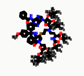 COc1ccc(C(Nc2nc(=O)n([C@@H]3C[C@H](O[Si](C)(C)C(C)(C)C)[C@@H](CO[Si](C)(C)C(C)(C)C)O3)cc2SCCN(CC[C@H](NC(=O)OC(C)(C)C)C(=O)OC(C)(C)C)C[C@H]2O[C@@H](n3cnc4c(NC(=O)c5ccccc5)ncnc43)[C@H](O[Si](C)(C)C(C)(C)C)[C@@H]2O[Si](C)(C)C(C)(C)C)(c2ccccc2)c2ccccc2)cc1